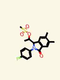 Cc1cc2c(cc1C)C(C(C)OS(C)(=O)=O)N(c1ccc(F)cc1)C2=O